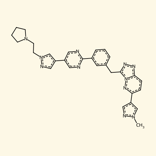 Cn1cc(-c2ccc3nnc(Cc4cccc(-c5ncc(-c6cnn(CCN7CCCC7)c6)cn5)c4)n3n2)cn1